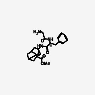 COC(=O)C12CC3CC(CC(NC(=O)[C@H](Cc4ccccc4)NC(=O)CN)(C3)C1)C2